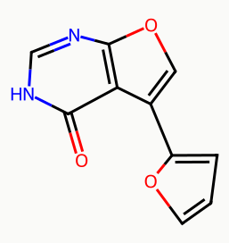 O=c1[nH]cnc2occ(-c3ccco3)c12